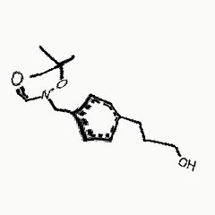 CC(C)(C)ON(C=O)Cc1ccc(CCCO)cc1